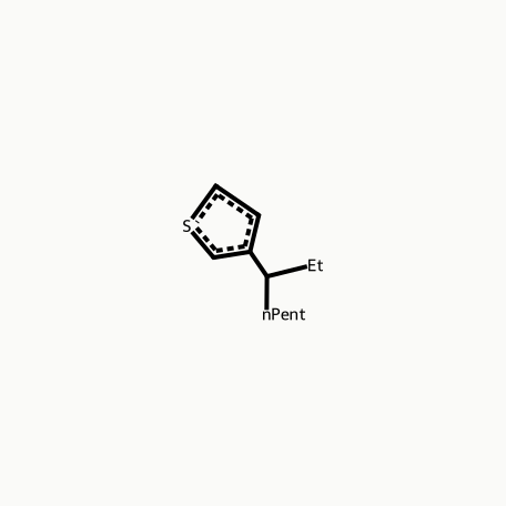 CCCCCC(CC)c1ccsc1